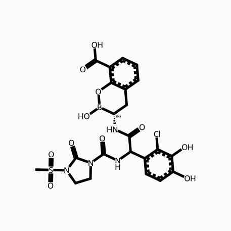 CS(=O)(=O)N1CCN(C(=O)NC(C(=O)N[C@H]2Cc3cccc(C(=O)O)c3OB2O)c2ccc(O)c(O)c2Cl)C1=O